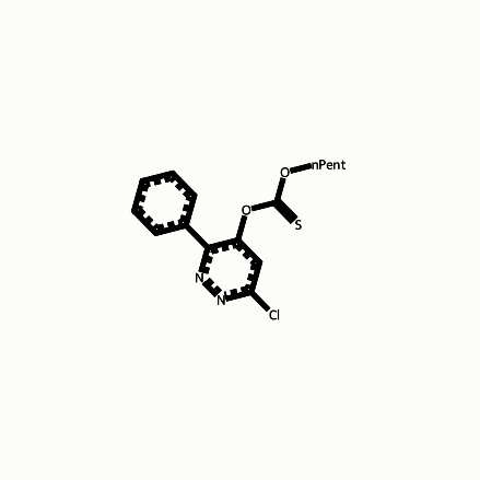 CCCCCOC(=S)Oc1cc(Cl)nnc1-c1ccccc1